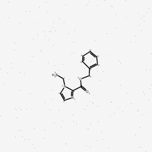 BCn1ccnc1C(=O)OCc1ccccc1